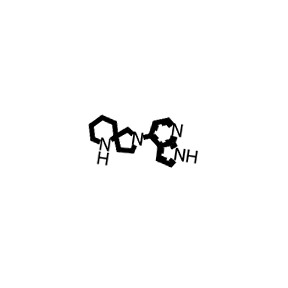 c1cc(N2CCC3(CCCCN3)C2)c2cc[nH]c2n1